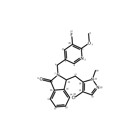 COc1ncc(CN2C(=O)c3ccccc3C2Cc2c(Cl)cnn2C)cc1F